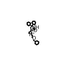 C[N+]1(CCOCc2ccccc2)CCC(N2CC(c3ccccc3)(c3ccccc3)NC2=O)C1